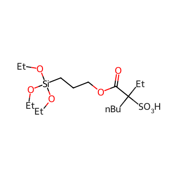 CCCCC(CC)(C(=O)OCCC[Si](OCC)(OCC)OCC)S(=O)(=O)O